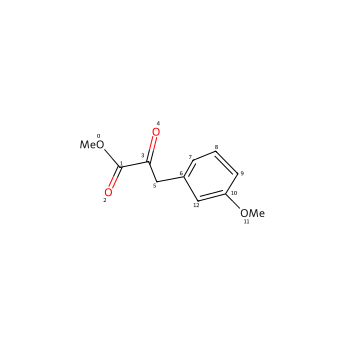 COC(=O)C(=O)Cc1cccc(OC)c1